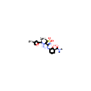 CC[C@@H](NC1=C(C=O)S(=O)(=O)N=C1Nc1cccc(C(=O)N(C)C)c1O)c1cc(C(C)C)co1